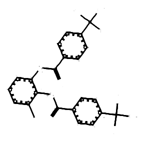 Cc1cccc(NC(=O)c2ccc(C(F)(F)F)cc2)c1NC(=O)c1ccc(C(F)(F)F)cc1